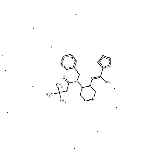 CC(C)(C)OC(=O)N(Cc1ccccc1)C1CCNCC1N=C(N)c1cccs1